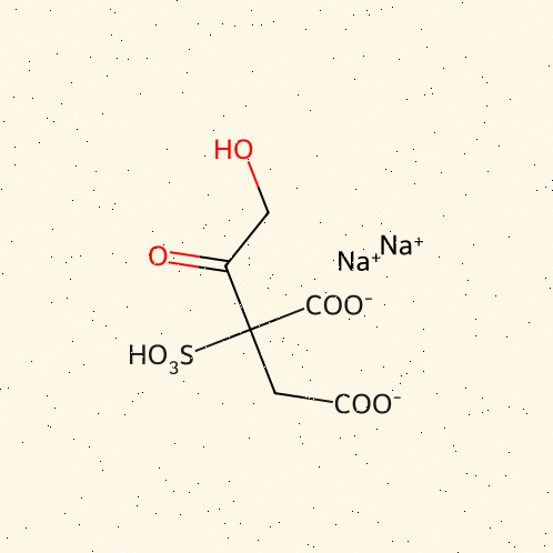 O=C([O-])CC(C(=O)[O-])(C(=O)CO)S(=O)(=O)O.[Na+].[Na+]